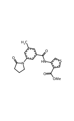 COC(=O)c1cscc1NC(=O)c1cc(C)cc(N2CCCC2=O)c1